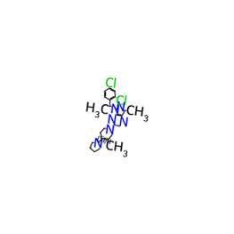 Cc1nn(C(C)c2ccc(Cl)cc2Cl)c2nc(N3CC[C@H](N4CCCC4)[C@H](C)C3)cnc12